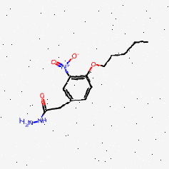 CCCCCOc1ccc(CC(=O)NN)cc1[N+](=O)[O-]